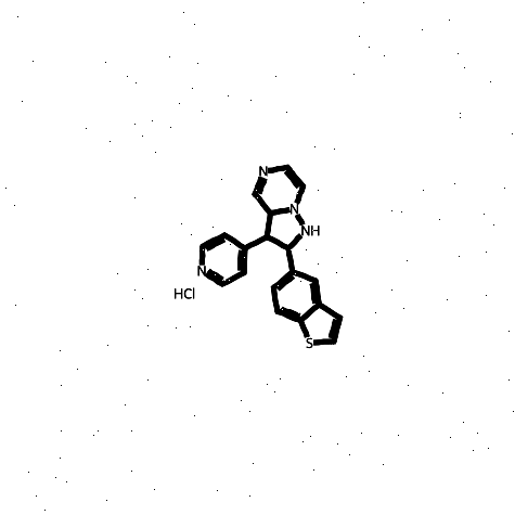 C1=CN2NC(c3ccc4sccc4c3)C(c3ccncc3)C2C=N1.Cl